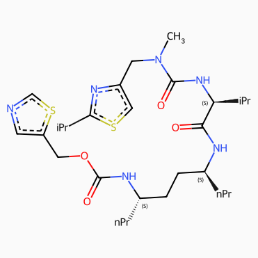 CCC[C@@H](CC[C@H](CCC)NC(=O)[C@@H](NC(=O)N(C)Cc1csc(C(C)C)n1)C(C)C)NC(=O)OCc1cncs1